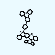 c1ccc2c(c1)Sc1cc3c(-c4ccc(-c5ccc6c7ccccc7c7ccccc7c6c5)cc4)nc4ccccc4c3cc1C21c2ccccc2-c2ccccc21